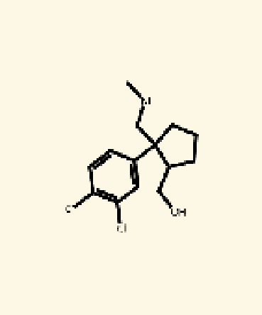 CNCC1(c2ccc(Cl)c(Cl)c2)CCCC1CO